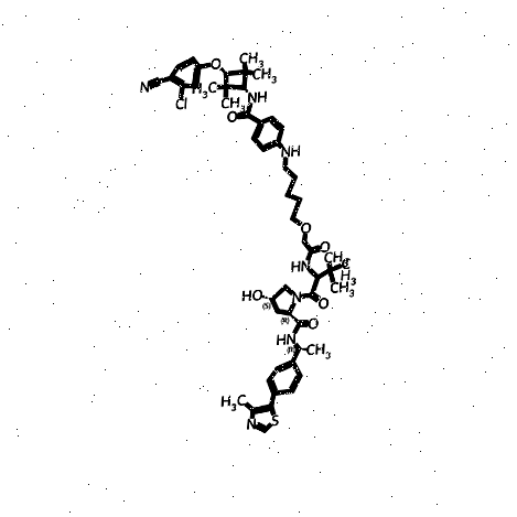 Cc1ncsc1-c1ccc([C@@H](C)NC(=O)[C@H]2C[C@H](O)CN2C(=O)C(NC(=O)COCCCCCNc2ccc(C(=O)N[C@H]3C(C)(C)[C@H](Oc4ccc(C#N)c(Cl)c4)C3(C)C)cc2)C(C)(C)C)cc1